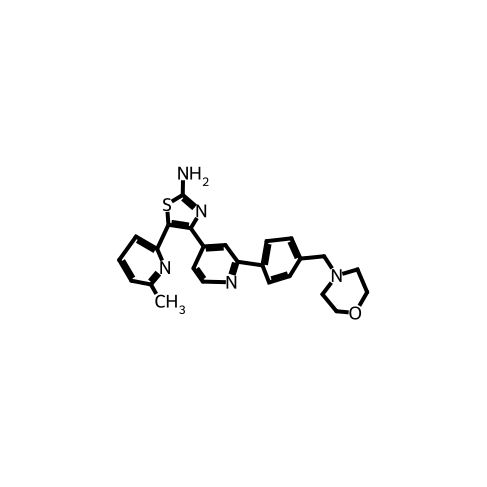 Cc1cccc(-c2sc(N)nc2-c2ccnc(-c3ccc(CN4CCOCC4)cc3)c2)n1